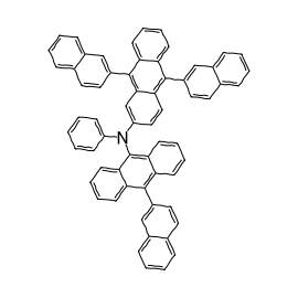 c1ccc(N(c2ccc3c(-c4ccc5ccccc5c4)c4ccccc4c(-c4ccc5ccccc5c4)c3c2)c2c3ccccc3c(-c3ccc4ccccc4c3)c3ccccc23)cc1